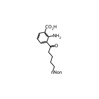 CCCCCCCCCCCCCC(=O)c1cccc(C(=O)O)c1N